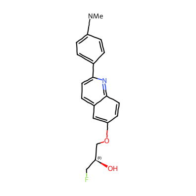 CNc1ccc(-c2ccc3cc(OC[C@@H](O)CF)ccc3n2)cc1